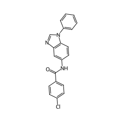 O=C(Nc1ccc2c(c1)ncn2-c1ccccc1)c1ccc(Cl)cc1